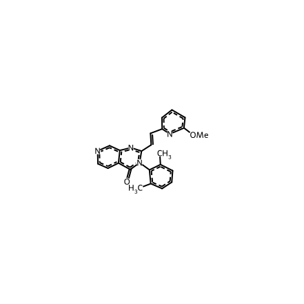 COc1cccc(/C=C/c2nc3cnccc3c(=O)n2-c2c(C)cccc2C)n1